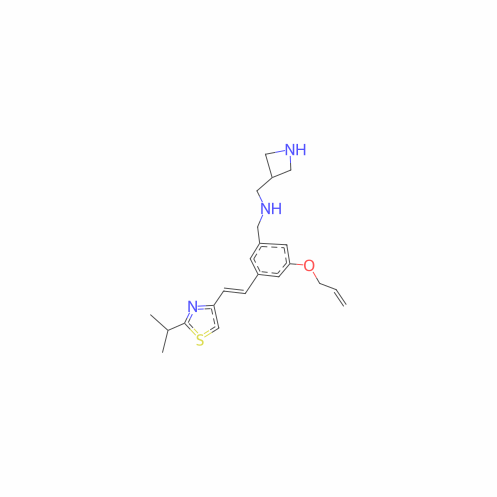 C=CCOc1cc(/C=C/c2csc(C(C)C)n2)cc(CNCC2CNC2)c1